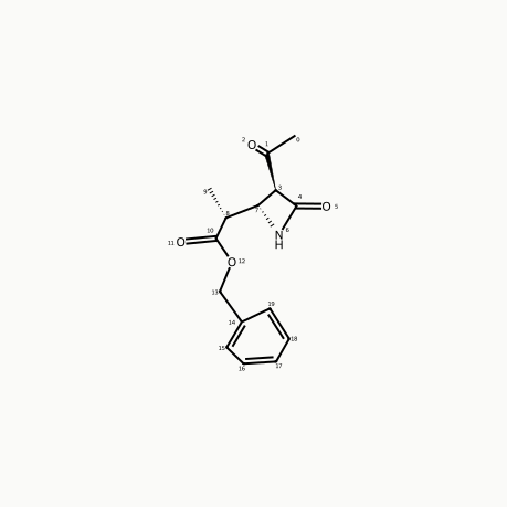 CC(=O)[C@H]1C(=O)N[C@@H]1[C@@H](C)C(=O)OCc1ccccc1